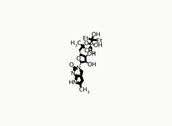 CCC(O)(CC)P(=O)(O)OC(C)(C)C[C@H]1O[C@@H](n2cc3cc(C)[nH]c3nc2=O)[C@H](O)[C@@H]1O